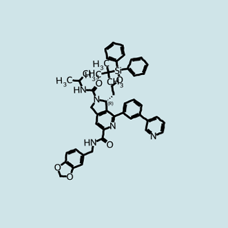 CC(C)NC(=O)N1Cc2cc(C(=O)NCc3ccc4c(c3)OCO4)nc(-c3cccc(-c4cccnc4)c3)c2[C@H]1CCO[Si](c1ccccc1)(c1ccccc1)C(C)(C)C